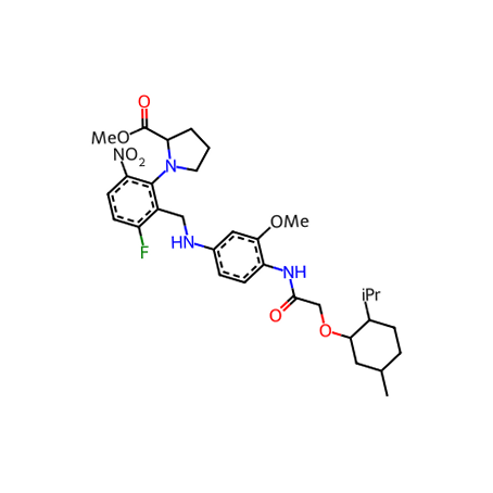 COC(=O)C1CCCN1c1c([N+](=O)[O-])ccc(F)c1CNc1ccc(NC(=O)COC2CC(C)CCC2C(C)C)c(OC)c1